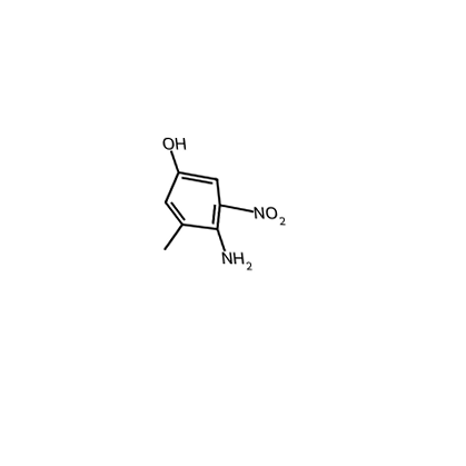 Cc1cc(O)cc([N+](=O)[O-])c1N